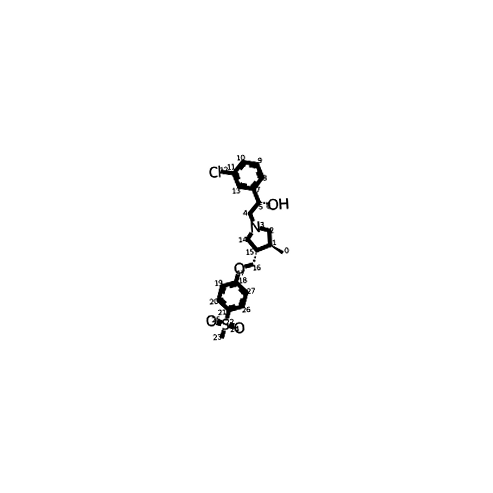 C[C@@H]1CN(C[C@@H](O)c2cccc(Cl)c2)C[C@H]1COc1ccc(S(C)(=O)=O)cc1